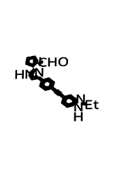 CCc1nc2cc(C#Cc3ccc(-c4c[nH]c([C@@H]5CCCN5C=O)n4)cc3)ccc2[nH]1